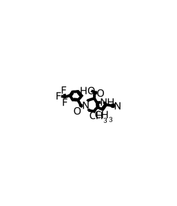 CC1(C)CN(C(=O)c2cccc(C(F)(F)F)c2)CC(C(=O)O)c2[nH]c(C#N)cc21